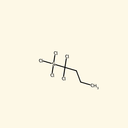 CCCC(Cl)(Cl)[Si](Cl)(Cl)Cl